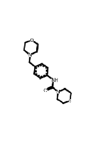 O=C(Nc1ccc(CN2CCOCC2)cc1)N1CCSCC1